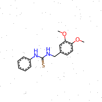 COc1ccc(CNC(=S)Nc2ccccc2)cc1OC